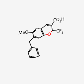 COc1cc2c(cc1Cc1ccccc1)OC(C(F)(F)F)C(C(=O)O)=C2